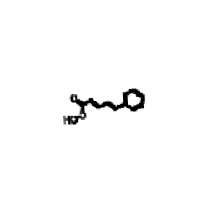 O=C(C=CC=Cc1ccccc1)OO